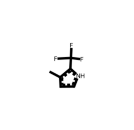 Cc1cc[nH]c1C(F)(F)F